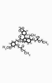 CCOC(=O)COc1cc(OC)ccc1COC(=O)c1[nH]c2ccc(OCC(=O)OCC)c(CC)c2c1-c1ccc2c(c1)OCO2